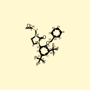 O=C1N(C[C@@H]2CO2)CCN1c1cc(C(F)(F)F)cc(C(F)(F)F)c1OCc1ccccc1